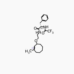 C/C1=C/C(OCCNC(=O)[C@H](Cc2ccccc2)NC(=O)C(F)(F)F)CCCCC1